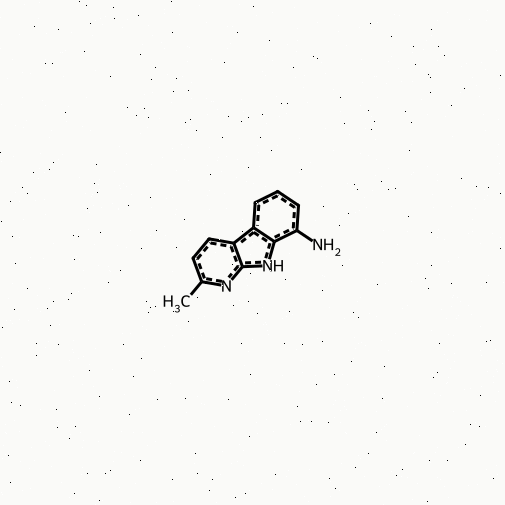 Cc1ccc2c(n1)[nH]c1c(N)cccc12